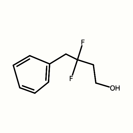 OCCC(F)(F)Cc1ccccc1